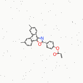 C=CC(=O)Oc1ccc(-c2nc3c4ccc(C)cc4c4cc(C)ccc4c3o2)cc1